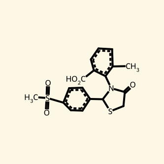 Cc1cccc(C(=O)O)c1N1C(=O)CSC1c1ccc(S(C)(=O)=O)cc1